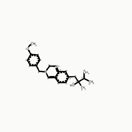 COc1ccc(CN2C=c3ccc(CC(C)(O)C(C)C)cc3=NC2)cc1